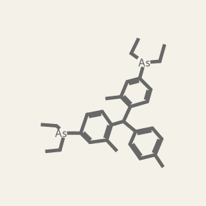 CC[As](CC)c1ccc(C(c2ccc(C)cc2)c2ccc([As](CC)CC)cc2C)c(C)c1